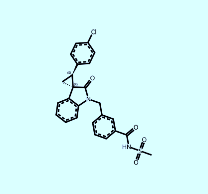 CS(=O)(=O)NC(=O)c1cccc(CN2C(=O)[C@@]3(C[C@H]3c3ccc(Cl)cc3)c3ccccc32)c1